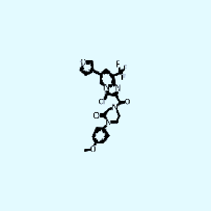 COc1ccc(N2CCN(C(=O)c3nc4c(C(F)(F)F)cc(-c5ccoc5)cn4c3Cl)CC2=O)cc1